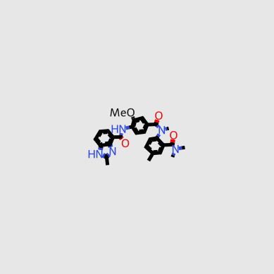 COc1cc(C(=O)N(C)c2ccc(C)cc2C(=O)N(C)C)ccc1NC(=O)c1cccc2[nH]c(C)nc12